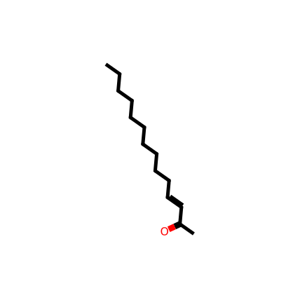 CCCCCCCCCCC=CC(C)=O